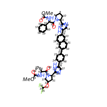 COC(=O)NC(C(=O)N1CCCC1c1ncc(-c2ccc3cc(-c4ccc(-c5cnc(C6CC(OC(F)F)CN6C(=O)C(NC(=O)OC)C(C)C)[nH]5)cc4)ccc3c2)[nH]1)c1ccccc1